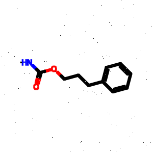 [NH]C(=O)OCCCc1ccccc1